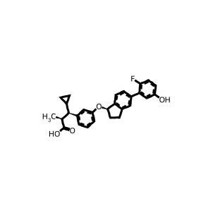 C[C@H](C(=O)O)[C@H](c1cccc(O[C@@H]2CCc3cc(-c4cc(O)ccc4F)ccc32)c1)C1CC1